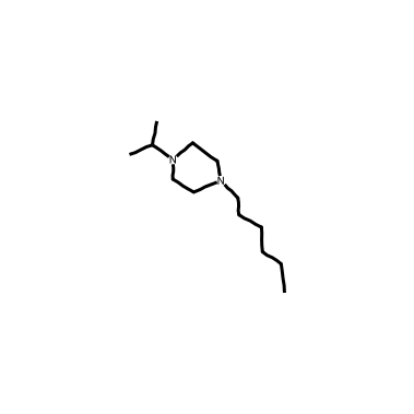 CCCCCCN1CCN(C(C)C)CC1